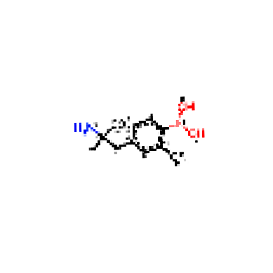 C[C@](N)(Cc1ccc(B(O)O)c(C(F)(F)F)c1)C(=O)O